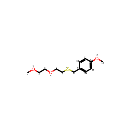 COCCOCCSCc1ccc(OC)cc1